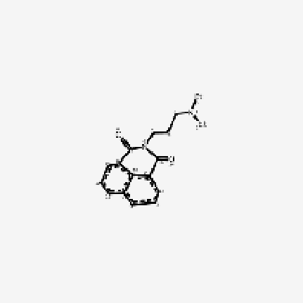 CCN(CC)CCCN1C(=O)c2cccc3cccc(c23)C1=O